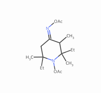 CCC1(C)CC(=NOC(C)=O)C(C)C(C)(CC)N1OC(C)=O